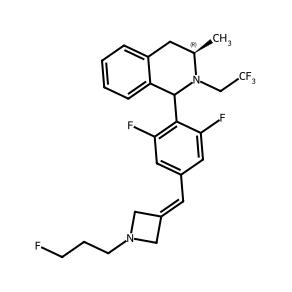 C[C@@H]1Cc2ccccc2C(c2c(F)cc(C=C3CN(CCCF)C3)cc2F)N1CC(F)(F)F